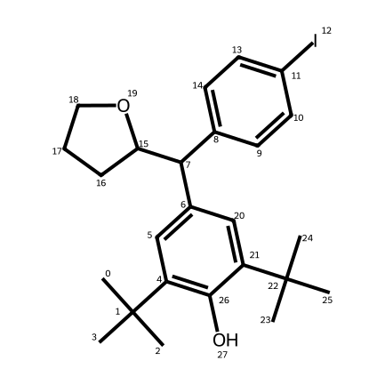 CC(C)(C)c1cc(C(c2ccc(I)cc2)C2CCCO2)cc(C(C)(C)C)c1O